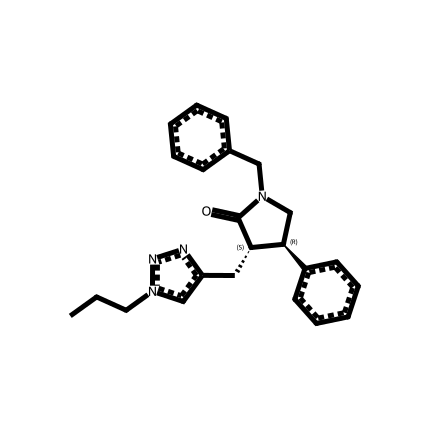 CCCn1cc(C[C@@H]2C(=O)N(Cc3ccccc3)C[C@H]2c2ccccc2)nn1